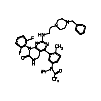 Cc1ccc(N(C(=O)C(F)(F)F)C(C)C)cc1-c1nc(NCCN2CCN(Cc3ccccc3)CC2)nc2c1CNC(=O)N2c1c(F)cccc1F